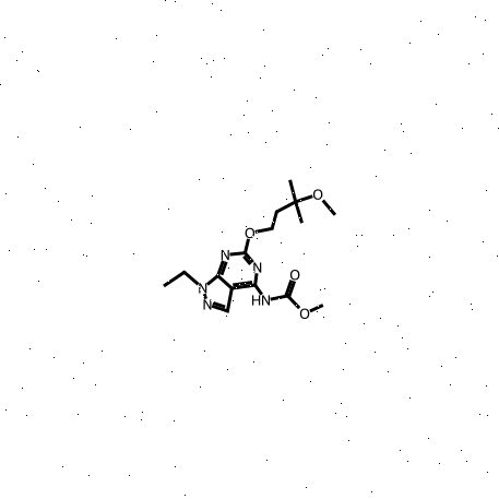 CCn1ncc2c(NC(=O)OC)nc(OCCC(C)(C)OC)nc21